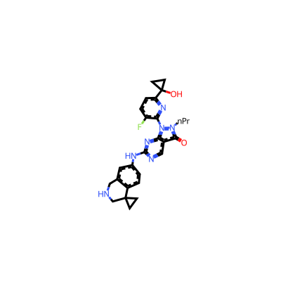 CCCn1c(=O)c2cnc(Nc3ccc4c(c3)CNCC43CC3)nc2n1-c1nc(C2(O)CC2)ccc1F